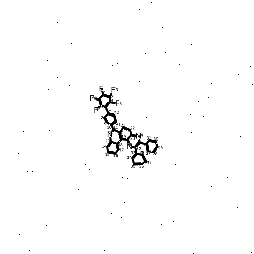 Fc1c(F)c(F)c(-c2ccc(-c3nc4ccccc4c4c3ccc3nc(-c5ccccc5)c(-c5ccccc5)nc34)cc2)c(F)c1F